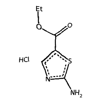 CCOC(=O)c1cnc(N)s1.Cl